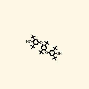 CC(C)(C)c1cc(Oc2cc(C(C)(C)C)c(O)c(C(C)(C)C)c2)c(C(C)(C)C)cc1Oc1cc(C(C)(C)C)c(O)c(C(C)(C)C)c1